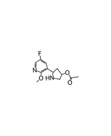 COc1ncc(F)cc1C1CC(OC(C)=O)CN1